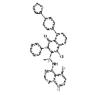 C[C@H](Nc1ncnc2[nH]ccc(=O)c12)c1c(Cl)c2cccc(-c3ccc(-c4cccs4)cc3)c2c(=O)n1-c1ccccc1